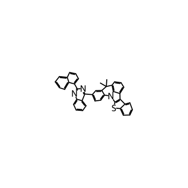 CC1(C)c2cc(-c3nc(-c4cccc5ccccc45)nc4ccccc34)ccc2-n2c3sc4ccccc4c3c3cccc1c32